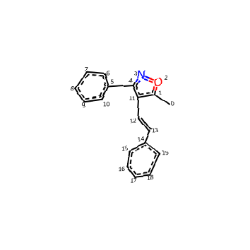 Cc1onc(-c2ccccc2)c1C=Cc1ccccc1